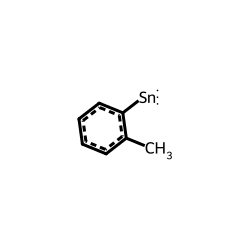 Cc1cccc[c]1[Sn]